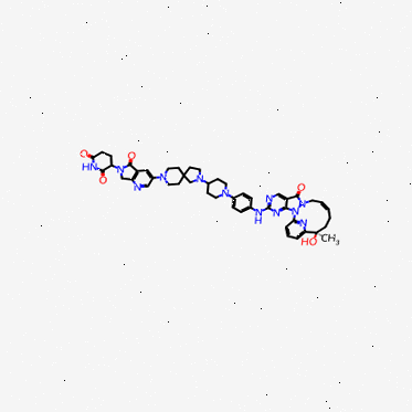 C[C@@]1(O)CC/C=C\Cn2c(=O)c3cnc(Nc4ccc(N5CCC(N6CCC7(CCN(c8cnc9c(c8)C(=O)N(C8CCC(=O)NC8=O)C9)CC7)C6)CC5)cc4)nc3n2-c2cccc1n2